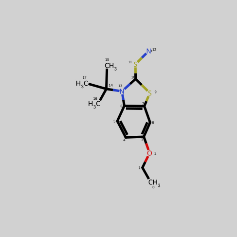 CCOc1ccc2c(c1)SC(S[N])N2C(C)(C)C